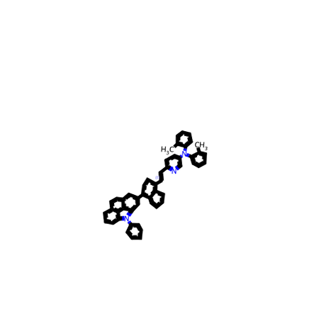 Cc1ccccc1N(c1ccc(/C=C/c2ccc(-c3cc4ccc5cccc6c5c4c(c3)n6-c3ccccc3)c3ccccc23)nc1)c1ccccc1C